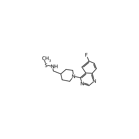 CSNCC1CCN(c2ncnc3ccc(F)cc23)CC1